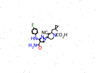 CC1(CC2[C@@H](C#N)[C@H](n3cc(C(N)=O)c(Nc4ccc(F)cc4)n3)CCN2C(=O)O)CC1